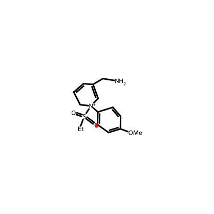 CCS(=O)(=O)[N+]1(c2ccc(OC)cc2)C=C(CN)C=CC1